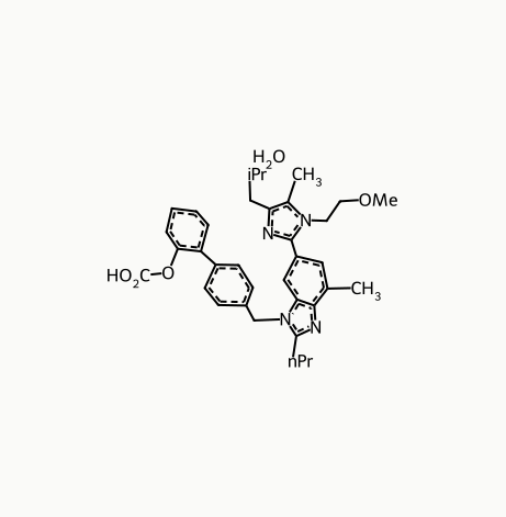 CCCc1nc2c(C)cc(-c3nc(CC(C)C)c(C)n3CCOC)cc2n1Cc1ccc(-c2ccccc2OC(=O)O)cc1.O